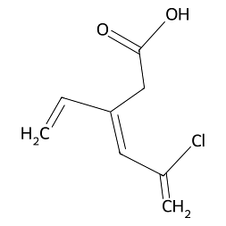 C=CC(=CC(=C)Cl)CC(=O)O